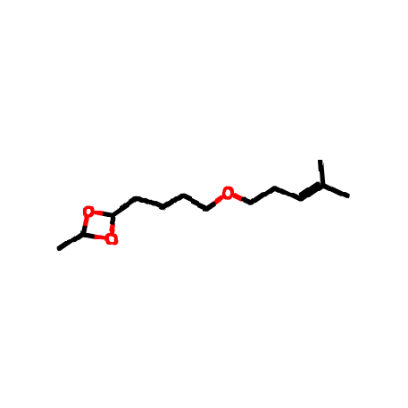 CC(C)=CCCOCCCCC1OC(C)O1